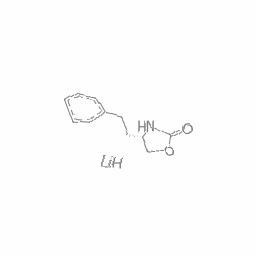 O=C1N[C@@H](CCc2ccccc2)CO1.[LiH]